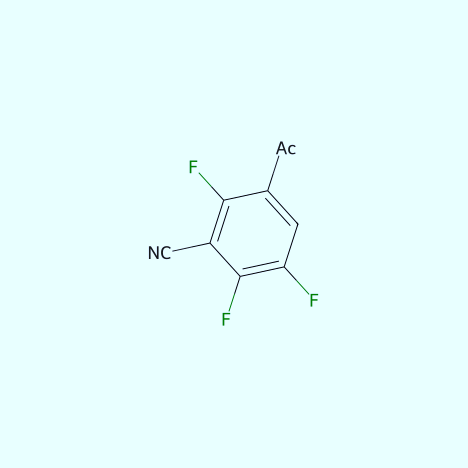 CC(=O)c1cc(F)c(F)c(C#N)c1F